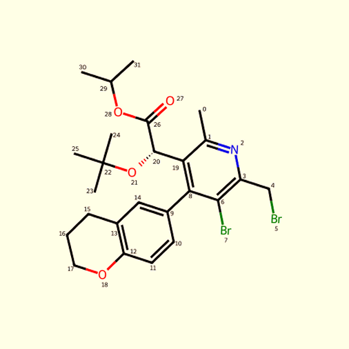 Cc1nc(CBr)c(Br)c(-c2ccc3c(c2)CCCO3)c1[C@H](OC(C)(C)C)C(=O)OC(C)C